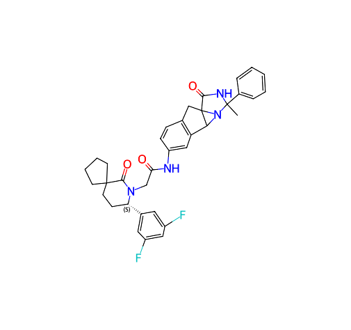 CC1(c2ccccc2)NC(=O)C23Cc4ccc(NC(=O)CN5C(=O)C6(CCCC6)CC[C@H]5c5cc(F)cc(F)c5)cc4C2N13